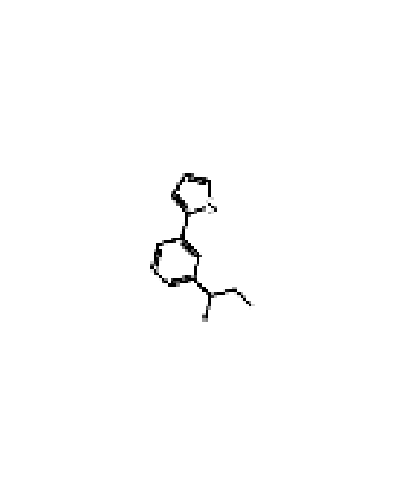 CCC(C)c1cccc(-c2cccs2)c1